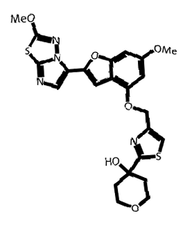 COc1cc(OCc2csc(C3(O)CCOCC3)n2)c2cc(-c3cnc4sc(OC)nn34)oc2c1